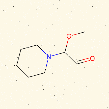 COC(C=O)N1CC[CH]CC1